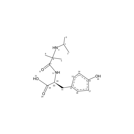 CC(C)NC(C)(C)C(=O)N[C@@H](Cc1ccc(O)cc1)C(=O)O